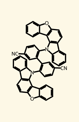 N#Cc1ccc(-n2c3ccccc3c3ccc4oc5ccccc5c4c32)c(-c2cc(C#N)ccc2-n2c3ccccc3c3ccc4oc5ccccc5c4c32)c1